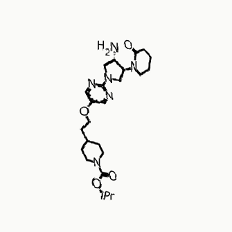 CC(C)OC(=O)N1CCC(CCOc2cnc(N3C[C@H](N)[C@@H](N4CCCCC4=O)C3)nc2)CC1